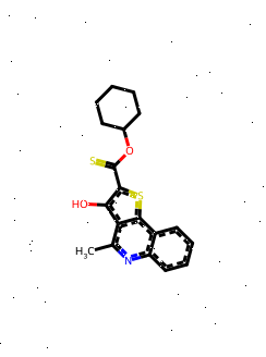 Cc1nc2ccccc2c2sc(C(=S)OC3CCCCC3)c(O)c12